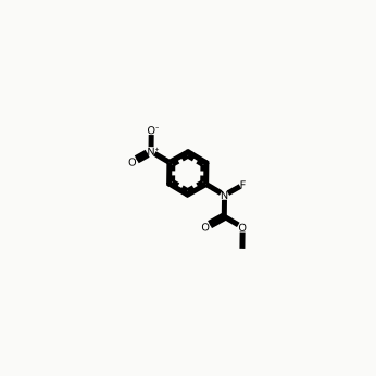 COC(=O)N(F)c1ccc([N+](=O)[O-])cc1